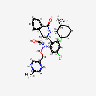 CC(=O)N[C@H]1CCCC[C@@H]1N1C(=O)c2ccccc2[C@@H](C(=O)NOCc2cnc(C)cn2)[C@@H]1c1ccc(Cl)cc1Cl